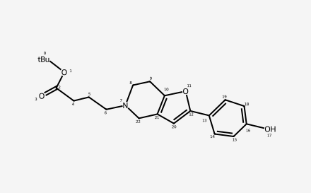 CC(C)(C)OC(=O)CCCN1CCc2oc(-c3ccc(O)cc3)cc2C1